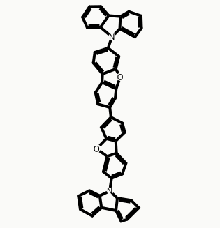 c1ccc2c(c1)c1ccccc1n2-c1ccc2c(c1)oc1cc(-c3ccc4c(c3)oc3cc(-n5c6ccccc6c6ccccc65)ccc34)ccc12